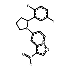 O=[N+]([O-])c1cnn2ccc(N3CCCC3c3cc(F)ccc3F)cc12